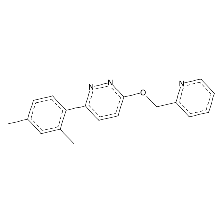 Cc1ccc(-c2ccc(OCc3ccccn3)nn2)c(C)c1